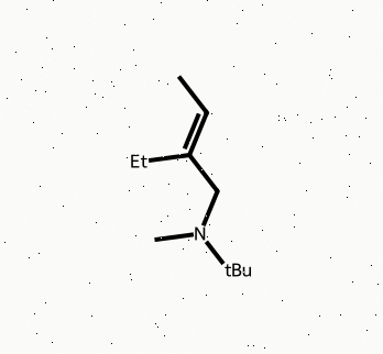 C/C=C(\CC)CN(C)C(C)(C)C